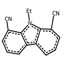 CCn1c2c(C#N)cccc2c2cccc(C#N)c21